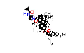 C=C(C)[C@@H]1CC[C@]2(CC(=O)N3CC[C@H](NC(=O)C4CC4)C3)CC[C@]3(C)[C@H](CC[C@@H]4[C@@]5(C)CC[C@H](OC(=O)CC(C)(C)CC(=O)O)C(C)(C)[C@@H]5CC[C@]43C)[C@@H]12